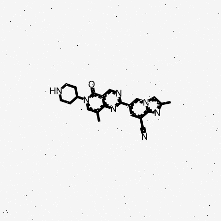 Cc1cn2cc(-c3ncc4c(=O)n(C5CCNCC5)cc(C)c4n3)cc(C#N)c2n1